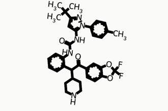 Cc1ccc(-n2nc(C(C)(C)C)cc2NC(=O)Nc2ccccc2C(C(=O)c2ccc3c(c2)OC(F)(F)O3)C2CCNCC2)cc1